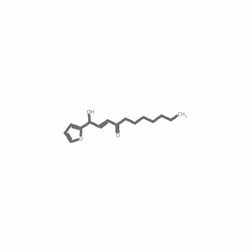 CCCCCCCC(=O)C=CC(O)c1ccco1